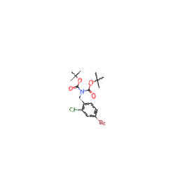 CC(C)(C)OC(=O)N(Cc1ccc(Br)cc1Cl)C(=O)OC(C)(C)C